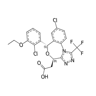 CCOc1cccc([C@H]2O[C@H](CC(=O)O)c3nnc(C(F)(F)F)n3-c3ccc(Cl)cc32)c1Cl